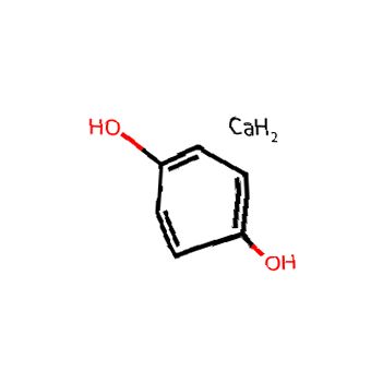 Oc1ccc(O)cc1.[CaH2]